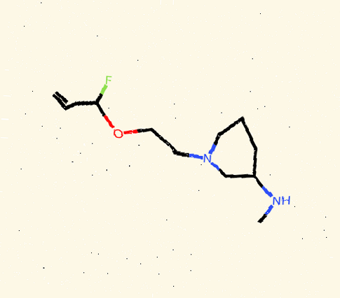 C=CC(F)OCCN1CCCC(NC)C1